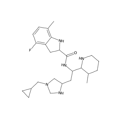 Cc1ccc(F)c2c1NC(C(=O)NC(CC1CN(CC3CC3)CN1)C1NCCCC1C)C2